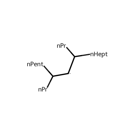 CCCCCCCC([CH]C(CCC)CCCCC)CCC